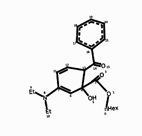 CCCCCCOC(=O)C1(O)C=C(N(CC)CC)C=CC1C(=O)c1ccccc1